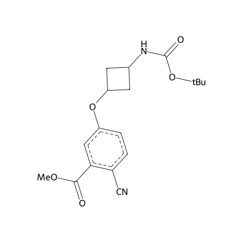 COC(=O)c1cc(OC2CC(NC(=O)OC(C)(C)C)C2)ccc1C#N